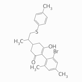 Cc1ccc(SCC(C)C2CC(=O)C(c3c(C)cc(C)cc3Br)=C(O)C2)cc1